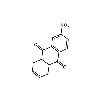 O=C1c2ccc([N+](=O)[O-])cc2C(=O)C2CC=CCC12